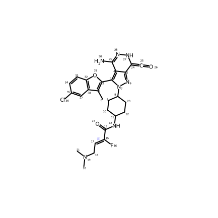 Cc1c(-c2c3c(nn2C2CCC(NC(=O)/C(F)=C/CN(C)C)CC2)C(=C=O)NN=C3N)oc2ccc(Cl)cc12